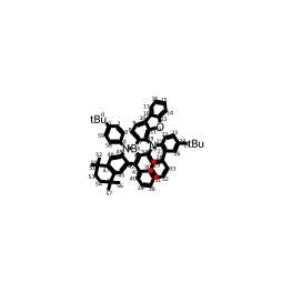 CC(C)(C)c1ccc(N2B3c4ccc5c(oc6ccccc65)c4N(c4ccc(C(C)(C)C)cc4-c4ccccc4)c4cc5ccccc5c(c43)-c3cc4c(cc32)C(C)(C)CCC4(C)C)cc1